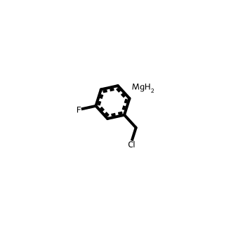 Fc1cccc(CCl)c1.[MgH2]